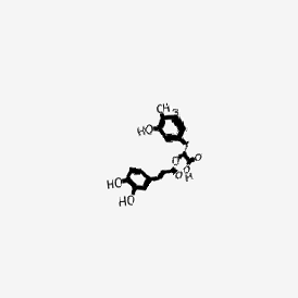 Cc1ccc(C[C@@H](OC(=O)/C=C/c2ccc(O)c(O)c2)C(=O)O)cc1O